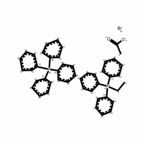 CC(=O)[O-].CC[P+](c1ccccc1)(c1ccccc1)c1ccccc1.[Br-].c1ccc([P+](c2ccccc2)(c2ccccc2)c2ccccc2)cc1